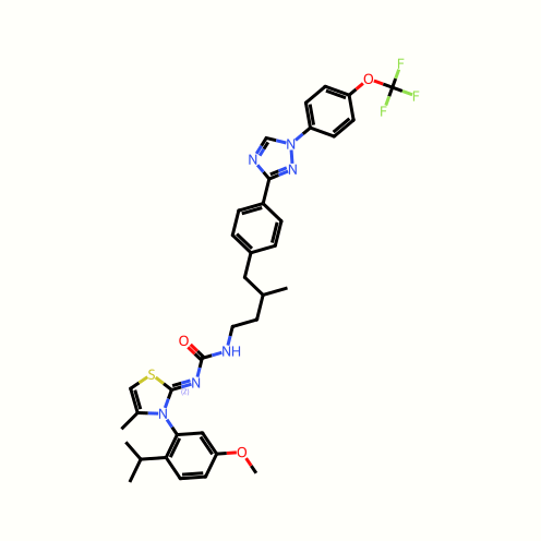 COc1ccc(C(C)C)c(-n2c(C)cs/c2=N\C(=O)NCCC(C)Cc2ccc(-c3ncn(-c4ccc(OC(F)(F)F)cc4)n3)cc2)c1